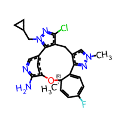 Cn1cc2c(n1)C1=CC=C(F)C=C[C@@]1(C)Oc1cc(cnc1N)-c1c(c(Cl)nn1CC1CC1)C2